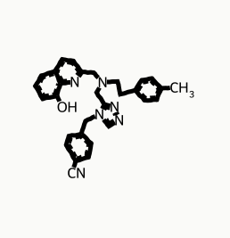 Cc1ccc(CCN(Cc2ccc3cccc(O)c3n2)Cc2nncn2Cc2ccc(C#N)cc2)cc1